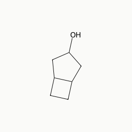 OC1CC2CCC2C1